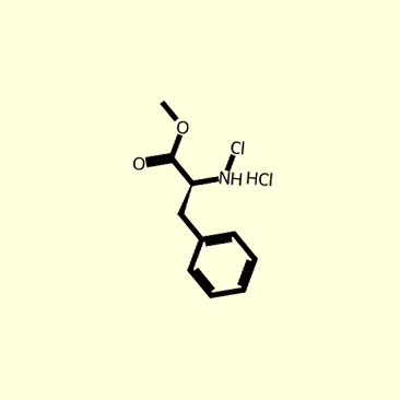 COC(=O)[C@H](Cc1ccccc1)NCl.Cl